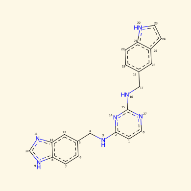 c1cc(NCc2ccc3[nH]cnc3c2)nc(NCc2ccc3[nH]ccc3c2)n1